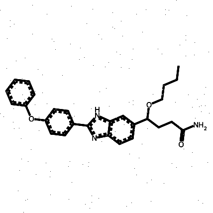 CCCCOC(CCC(N)=O)c1ccc2nc(-c3ccc(Oc4ccccc4)cc3)[nH]c2c1